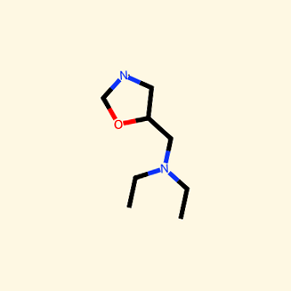 CCN(CC)CC1C[N]CO1